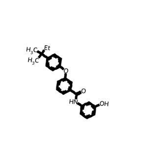 CCC(C)(C)c1ccc(Oc2cccc(C(=O)Nc3cccc(O)c3)c2)cc1